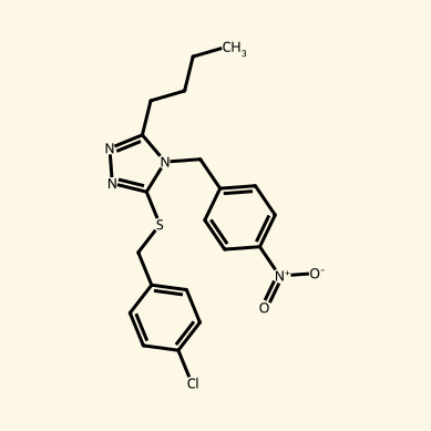 CCCCc1nnc(SCc2ccc(Cl)cc2)n1Cc1ccc([N+](=O)[O-])cc1